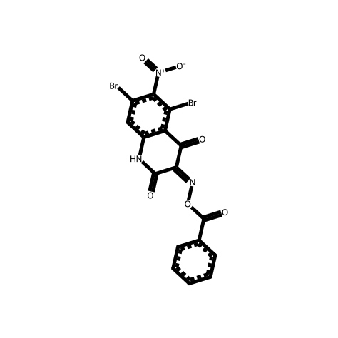 O=C1Nc2cc(Br)c([N+](=O)[O-])c(Br)c2C(=O)C1=NOC(=O)c1ccccc1